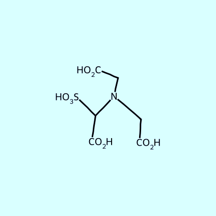 O=C(O)CN(CC(=O)O)C(C(=O)O)S(=O)(=O)O